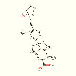 CCC(CC)(c1ccc(C#CC2(O)CCCC2)c(C)c1)c1ccc(C(=O)O)c(C)c1